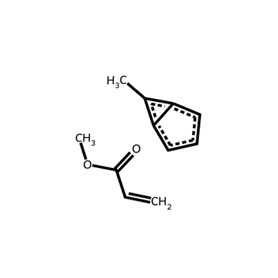 C=CC(=O)OC.Cc1c2cccc1-2